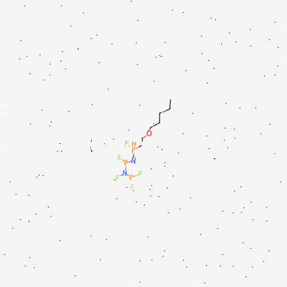 CCCCCOCC/[PH](F)=N/P(F)N(F)P(F)F